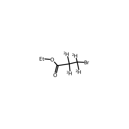 [2H]C([2H])(Br)C([2H])([2H])C(=O)OCC